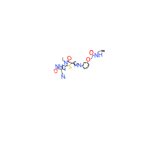 C#CCNC(=O)COc1cccc(NC=C=c2sc(=C=C(C#N)C(N)=O)n(CC)c2=O)c1